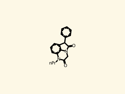 CCCN1C(=O)CN2C(=O)C(c3ccccc3)c3cccc1c32